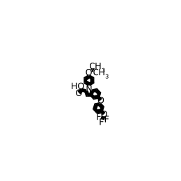 CC(C)Oc1ccc(-n2c(C(=O)O)cc3cc(Oc4cccc(OC(F)(F)F)c4)ccc32)cc1